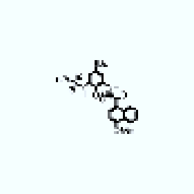 CCCS(=O)(=O)Nc1cc(C(C)(C)C)cc(NC(=O)C(=O)c2ccc(OC)c3ccccc23)c1OC